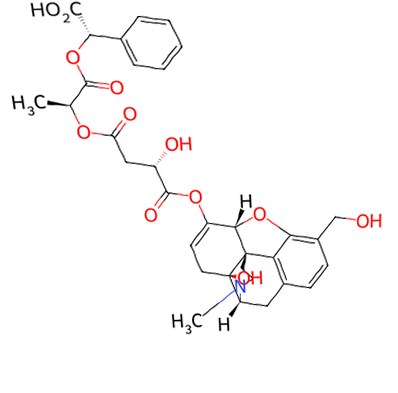 C[C@H](OC(=O)C[C@H](O)C(=O)OC1=CC[C@@]2(O)[C@H]3Cc4ccc(CO)c5c4[C@@]2(CCN3C)[C@H]1O5)C(=O)O[C@H](C(=O)O)c1ccccc1